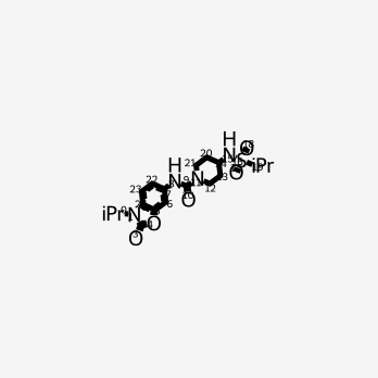 CC(C)n1c(=O)oc2cc(NC(=O)N3CCC(NS(=O)(=O)C(C)C)CC3)ccc21